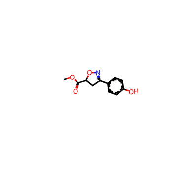 COC(=O)C1CC(c2ccc(O)cc2)=NO1